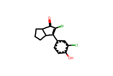 O=C1C(Br)=C(c2ccc(O)c(Cl)c2)C2CCCC12